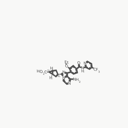 CCOc1cc(C(=O)Nc2cc(C(F)(F)F)ccn2)ccc1-c1nc([C@H]2C[C@@H]3[C@H](C2)[C@@H]3C(=O)O)n2ccnc(N)c12